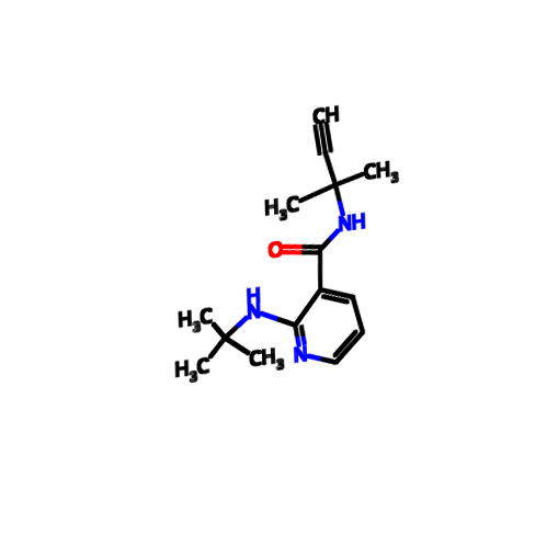 C#CC(C)(C)NC(=O)c1cccnc1NC(C)(C)C